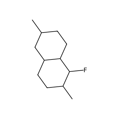 CC1CCC2C(CCC(C)C2F)C1